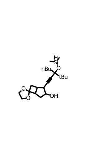 CCCCC(C#CC1C(O)CC2C1CC21OCCO1)(O[SiH](C)C)C(C)(C)C